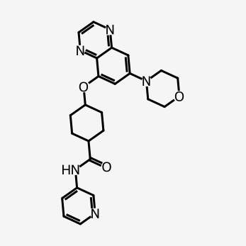 O=C(Nc1cccnc1)C1CCC(Oc2cc(N3CCOCC3)cc3nccnc23)CC1